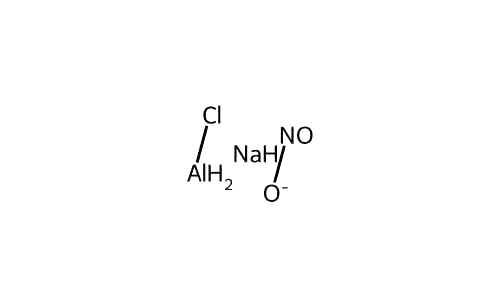 O=[NH+][O-].[AlH2][Cl].[NaH]